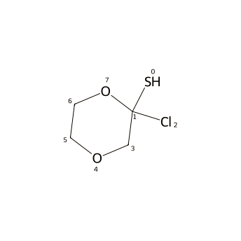 SC1(Cl)COCCO1